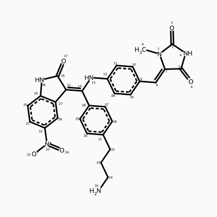 CN1C(=O)NC(=O)/C1=C/c1ccc(N/C(=C2\C(=O)Nc3ccc([N+](=O)[O-])cc32)c2ccc(CCCN)cc2)cc1